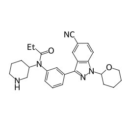 CCC(=O)N(c1cccc(-c2nn(C3CCCCO3)c3ccc(C#N)cc23)c1)C1CCCNC1